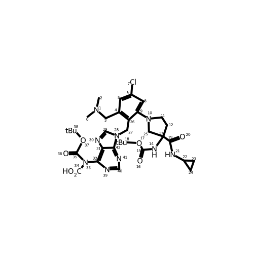 CN(C)Cc1cc(Cl)cc(N2CCC(NC(=O)OC(C)(C)C)(C(=O)NC3CC3)C2)c1Cn1cnc2c(N(C(=O)O)C(=O)OC(C)(C)C)ncnc21